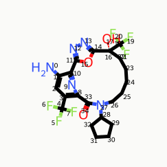 Nc1cc(C(F)(F)F)c2nc1-c1nnc(o1)[C@@](O)(C(F)(F)F)CCCCCN(C1CCCC1)C2=O